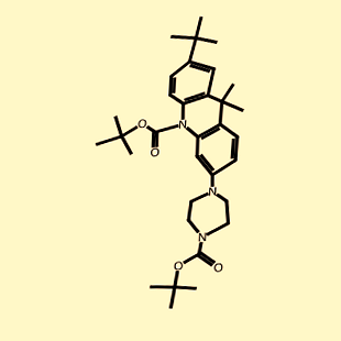 CC(C)(C)OC(=O)N1CCN(c2ccc3c(c2)N(C(=O)OC(C)(C)C)c2ccc(C(C)(C)C)cc2C3(C)C)CC1